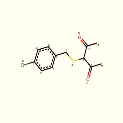 CC(=O)C(SCc1ccc(Cl)cc1)C(C)=O